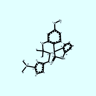 CCOc1ccc2c(c1)OC(C)(C)C(Cc1cnc(N(C)C)s1)[C@]21C(=O)Nc2ccccc21